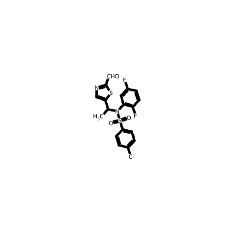 CC(c1cnc(C=O)s1)N(c1cc(F)ccc1F)S(=O)(=O)c1ccc(Cl)cc1